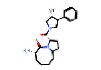 N#C[C@H]1CN(C(=O)[C@@H]2CCC3CCCC[C@H](N)C(=O)N32)C[C@@H]1c1ccccc1